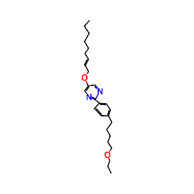 CCCCCC/C=C/COc1cnc(-c2ccc(CCCCCOCCC)cc2)nc1